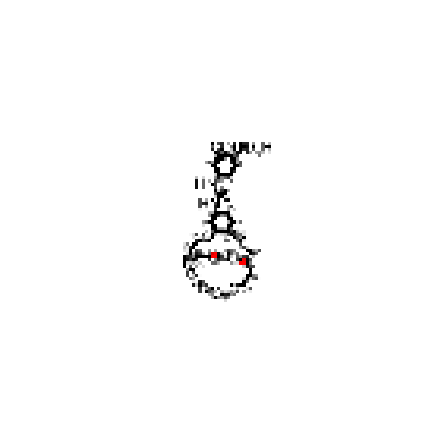 O=C(O)c1ccc(NC(=S)Nc2ccc3c(c2)OCCN2CCOCCOCCN(CCOCCOCC2)CCO3)cc1C(=O)O